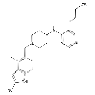 Cc1c(CN2CCC(Nc3ncncc3CCCC(F)(F)F)CC2)ccc2[nH]c(C#N)cc12